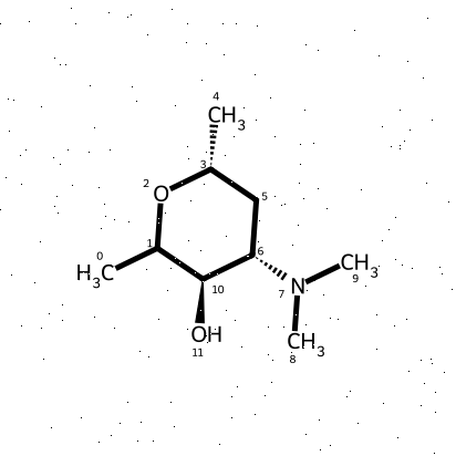 CC1O[C@H](C)C[C@H](N(C)C)[C@H]1O